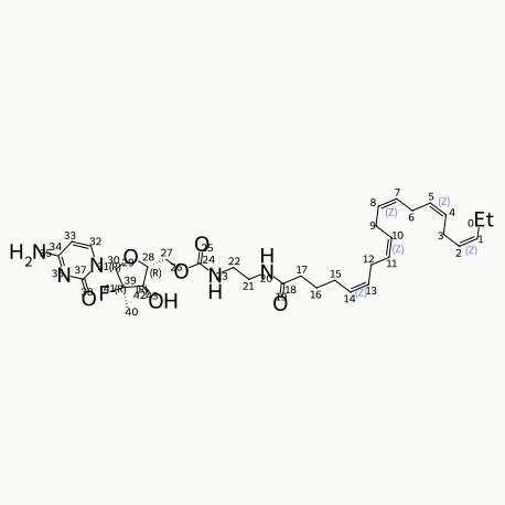 CC/C=C\C/C=C\C/C=C\C/C=C\C/C=C\CCCC(=O)NCCNC(=O)OC[C@H]1O[C@@H](n2ccc(N)nc2=O)[C@](C)(F)[C@@H]1O